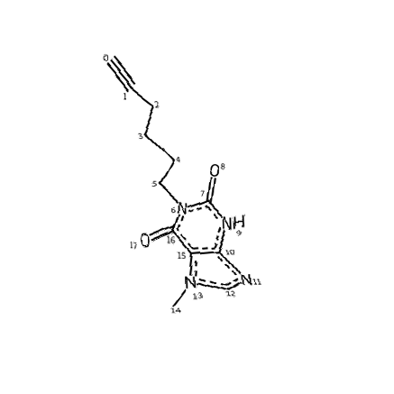 C#CCCCCn1c(=O)[nH]c2ncn(C)c2c1=O